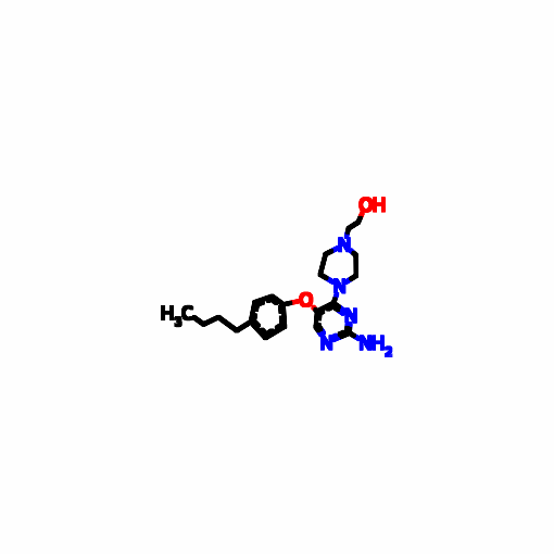 CCCCc1ccc(Oc2cnc(N)nc2N2CCN(CCO)CC2)cc1